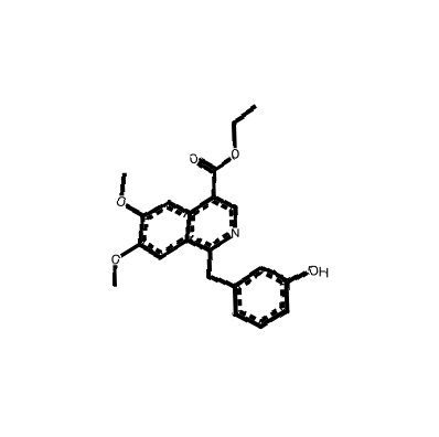 CCOC(=O)c1cnc(Cc2cccc(O)c2)c2cc(OC)c(OC)cc12